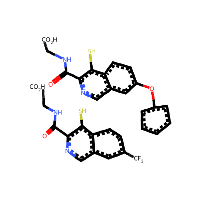 O=C(O)CNC(=O)c1ncc2cc(C(F)(F)F)ccc2c1S.O=C(O)CNC(=O)c1ncc2cc(Oc3ccccc3)ccc2c1S